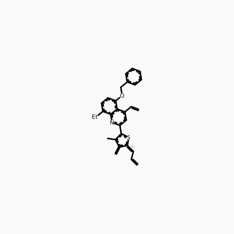 C=C/C=c1/sc(-c2cc(C=C)c3c(OCc4ccccc4)ccc(CC)c3n2)c(C)c1=C